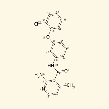 Cc1ccnc(N)c1C(=O)Nc1cccc(Oc2ccccc2Cl)c1